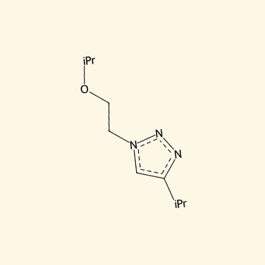 CC(C)OCCn1cc(C(C)C)nn1